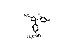 C[S+]([O-])c1ccc(-c2cc(C#N)nn2-c2ccc(F)cc2F)cc1